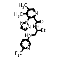 CCC(CNc1ccc(C(F)(F)F)nc1)NC(=O)c1ncc(C)c(C)c1-n1nccn1